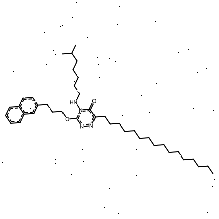 CCCCCCCCCCCCCCCCc1nnc(OCCCc2ccc3ccccc3c2)n(NCCCCCC(C)C)c1=O